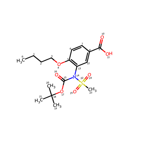 CCCCOc1ccc(C(=O)O)cc1N(C(=O)OC(C)(C)C)S(C)(=O)=O